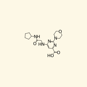 O=C(CNc1cc(C(=O)O)nc(N2CCOCC2)n1)NC1CCCC1